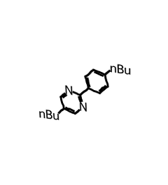 CCCCc1ccc(-c2ncc(CCCC)cn2)cc1